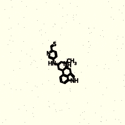 CN1C[C@H](Nc2ccc(C=S)nc2)CC2c3cccc4[nH]cc(c34)C[C@H]21